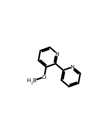 BOc1cccnc1-c1ccccn1